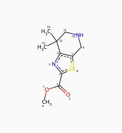 COC(=O)c1nc2c(s1)CNCC2(C)C